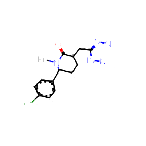 CC(C)N1C(=O)C(C/C(=N/N)NN)CCC1c1ccc(Cl)cc1